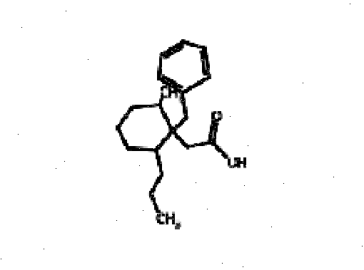 CCCC1CCCC(C)C1(CC(=O)O)Cc1ccccc1